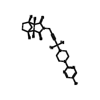 [2H]C([2H])(C#CCN1C(=O)[C@@H]2[C@@H]3CC[C@@H](C3)[C@@H]2C1=O)N1CCN(c2ncc(Br)cn2)CC1